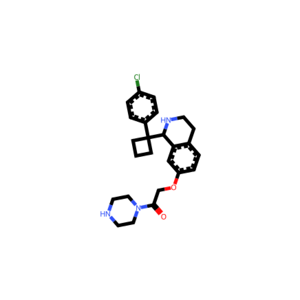 O=C(COc1ccc2c(c1)C(C1(c3ccc(Cl)cc3)CCC1)NCC2)N1CCNCC1